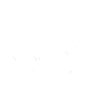 CC(CNC(=O)OCc1ccccc1)c1ccc(C(=O)Nc2ccncc2)cc1